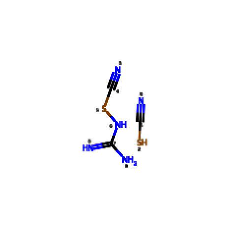 N#CS.N#CSNC(=N)N